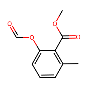 COC(=O)c1c(C)cccc1OC=O